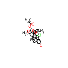 CCC(=O)OCC(=O)[C@@]1(OC(=O)CC)C(C)C[C@H]2[C@@H]3CCC4=CC(=O)C=C[C@]4(C)[C@H]3C(Cl)C[C@@]21C